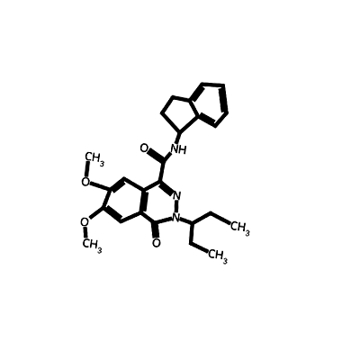 CCC(CC)n1nc(C(=O)NC2CCc3ccccc32)c2cc(OC)c(OC)cc2c1=O